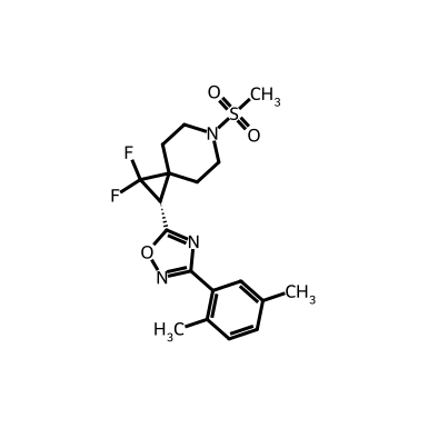 Cc1ccc(C)c(-c2noc([C@@H]3C(F)(F)C34CCN(S(C)(=O)=O)CC4)n2)c1